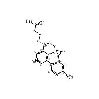 CCC(=O)CCC[C@@H]1CCCc2c(-c3ccc(C(F)(F)F)cc3C3CC3)cncc21